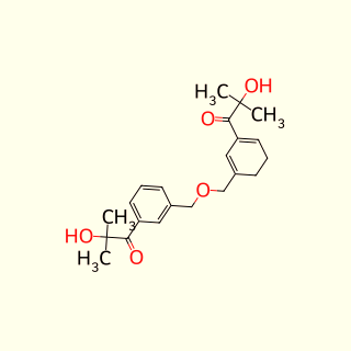 CC(C)(O)C(=O)C1=CCCC(COCc2cccc(C(=O)C(C)(C)O)c2)=C1